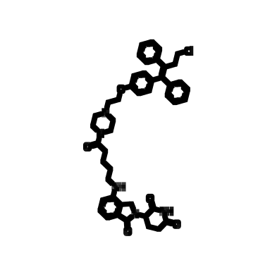 O=C1CCC(N2Cc3c(NCCCCC(=O)N4CCN(CCOc5ccc(/C(=C(/CCCl)c6ccccc6)c6ccccc6)cc5)CC4)cccc3C2=O)C(=O)N1